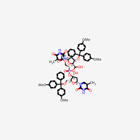 COc1ccc(C(OC[C@H]2O[C@@H](n3cc(C)c(=O)[nH]c3=O)C[C@]2(O)OP(=O)(OC(O)[C@H]2O[C@@H](n3cc(C)c(=O)[nH]c3=O)C[C@@H]2OC(c2ccccc2)(c2ccc(OC)cc2)c2ccc(OC)cc2)SCOC(=O)C(C)(C)C)(c2ccccc2)c2ccc(OC)cc2)cc1